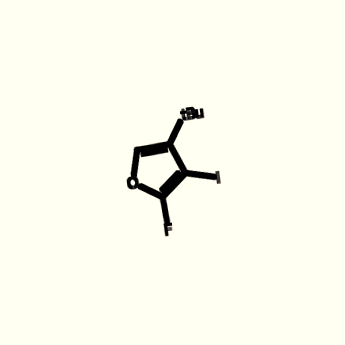 CC(C)(C)c1coc(F)c1I